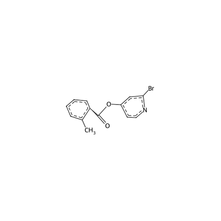 Cc1ccccc1C(=O)Oc1ccnc(Br)c1